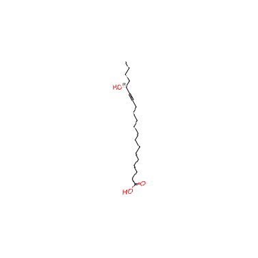 CCCC[C@@H](O)C#CCCCCCCCCCCCCC(=O)O